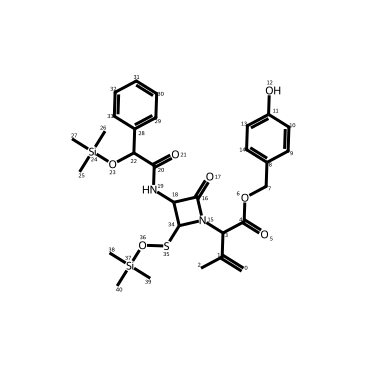 C=C(C)C(C(=O)OCc1ccc(O)cc1)N1C(=O)C(NC(=O)C(O[Si](C)(C)C)c2ccccc2)C1SO[Si](C)(C)C